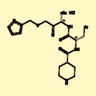 CCCC[C@H](NC(=O)[C@H](CC(C)C)NC(=O)C1CCNCC1)C(=O)CSCc1ccco1.Cl